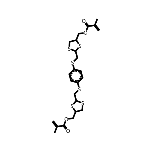 C=C(C)C(=O)OCC1CSC(CSc2ccc(SCC3SCC(COC(=O)C(=C)C)S3)cc2)S1